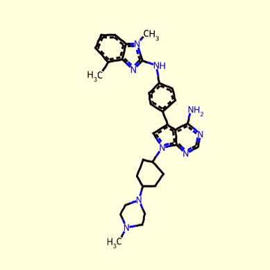 Cc1cccc2c1nc(Nc1ccc(-c3cn(C4CCC(N5CCN(C)CC5)CC4)c4ncnc(N)c34)cc1)n2C